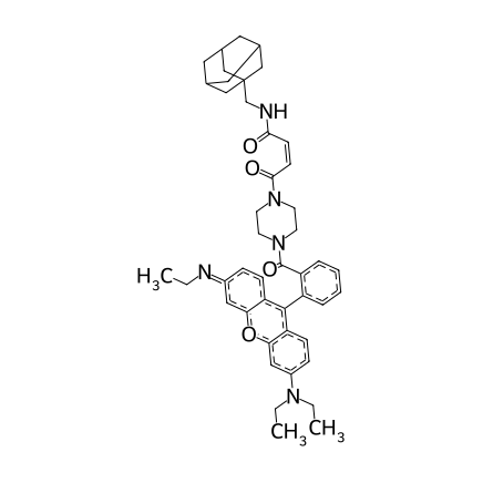 CC/N=c1/ccc2c(-c3ccccc3C(=O)N3CCN(C(=O)/C=C\C(=O)NCC45CC6CC(CC(C6)C4)C5)CC3)c3ccc(N(CC)CC)cc3oc-2c1